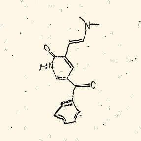 CN(C)C=Cc1cc(C(=O)c2ccccc2)c[nH]c1=O